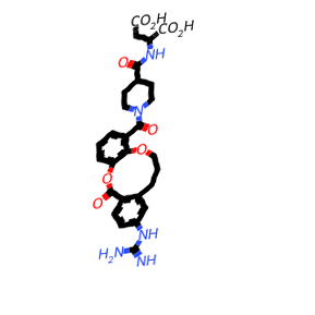 N=C(N)Nc1ccc2c(c1)CCCOc1c(cccc1C(=O)N1CCC(C(=O)NC(CC(=O)O)C(=O)O)CC1)OC2=O